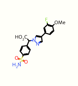 COc1ccc(-c2cnn(C(C(=O)O)c3ccc(S(N)(=O)=O)cc3)c2)cc1F